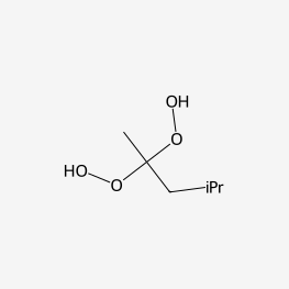 CC(C)CC(C)(OO)OO